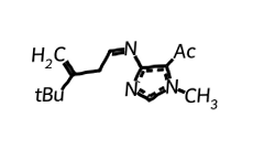 C=C(C/C=N\c1ncn(C)c1C(C)=O)C(C)(C)C